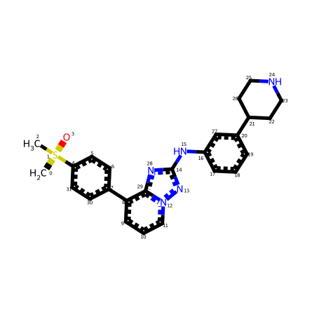 C=S(C)(=O)c1ccc(-c2cccn3nc(Nc4cccc(C5CCNCC5)c4)nc23)cc1